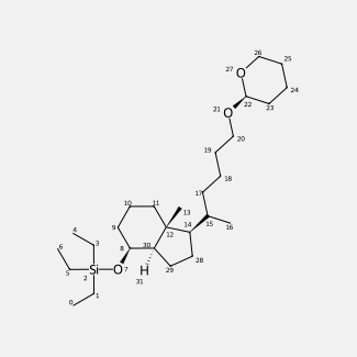 CC[Si](CC)(CC)O[C@H]1CCC[C@]2(C)[C@@H](C(C)CCCCO[C@@H]3CCCCO3)CC[C@@H]12